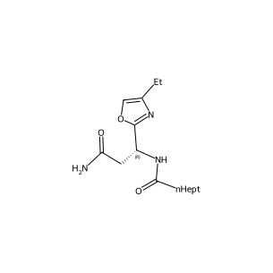 CCCCCCCC(=O)N[C@H](CC(N)=O)c1nc(CC)co1